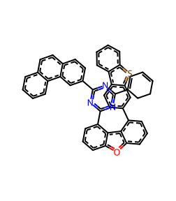 C1=CCCC(c2nc(-c3ccc4ccc5ccccc5c4c3)nc(-c3cccc4oc5cccc(-c6ccc7c(c6)sc6ccccc67)c5c34)n2)=C1